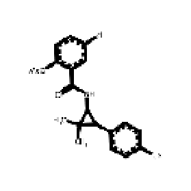 COc1ccc(Cl)cc1C(=O)NC1C(c2ccc(C#N)cc2)C1(C)C